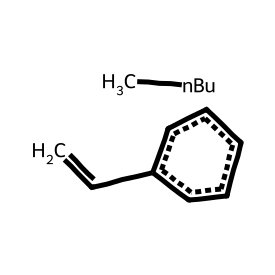 C=Cc1ccccc1.CCCCC